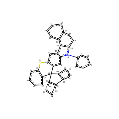 c1ccc(-n2c3cc4c(cc3c3c5ccccc5ccc32)Sc2ccccc2C42c3ccccc3-c3ccccc32)cc1